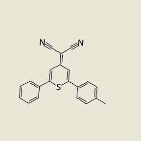 Cc1ccc(C2=CC(=C(C#N)C#N)C=C(c3ccccc3)S2)cc1